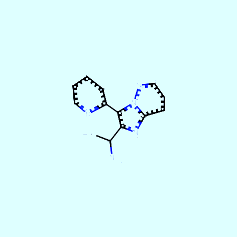 CC(N)c1nc2cccnn2c1-c1ccccn1